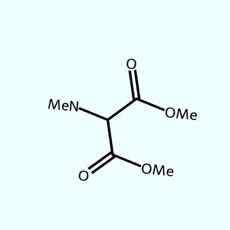 CNC(C(=O)OC)C(=O)OC